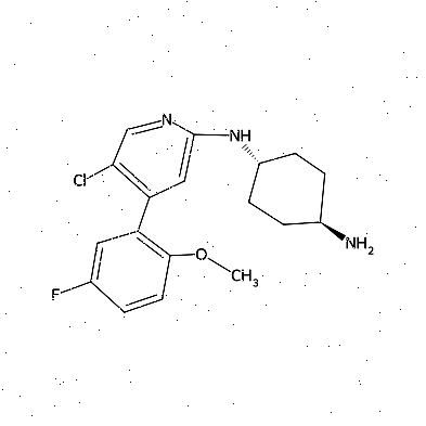 COc1ccc(F)cc1-c1cc(N[C@H]2CC[C@H](N)CC2)ncc1Cl